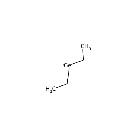 C[CH2][Ge][CH2]C